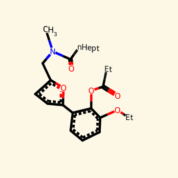 CCCCCCCC(=O)N(C)Cc1ccc(-c2cccc(OCC)c2OC(=O)CC)o1